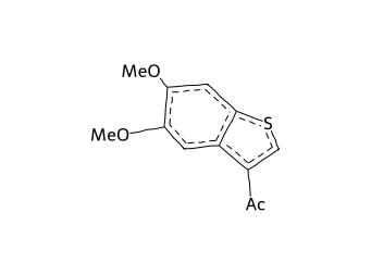 COc1cc2scc(C(C)=O)c2cc1OC